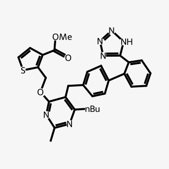 CCCCc1nc(C)nc(OCc2sccc2C(=O)OC)c1Cc1ccc(-c2ccccc2-c2nnn[nH]2)cc1